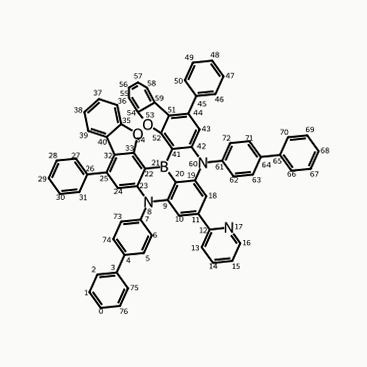 c1ccc(-c2ccc(N3c4cc(-c5ccccn5)cc5c4B(c4c3cc(-c3ccccc3)c3c4oc4ccccc43)c3c(cc(-c4ccccc4)c4c3oc3ccccc34)N5c3ccc(-c4ccccc4)cc3)cc2)cc1